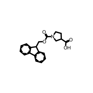 O=C(O)C1CCN(C(=O)OCC2c3ccccc3-c3ccccc32)C1